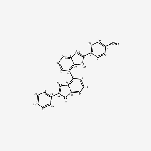 CC(C)(C)c1ccc(-c2nc3cccc(-c4cccc5oc(-c6ccccc6)nc45)c3o2)cc1